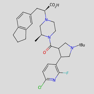 C[C@H]1CN([C@@H](Cc2ccc3c(c2)CCC3)C(=O)O)CCN1C(=O)C1CN(C(C)(C)C)CC1c1ccc(Cl)nc1F